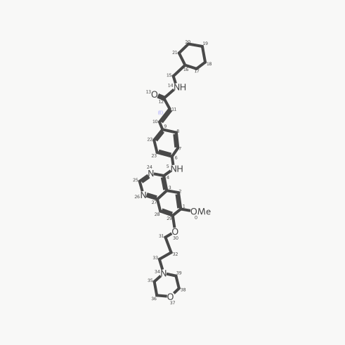 COc1cc2c(Nc3ccc(/C=C/C(=O)NCC4CCCCC4)cc3)ncnc2cc1OCCCN1CCOCC1